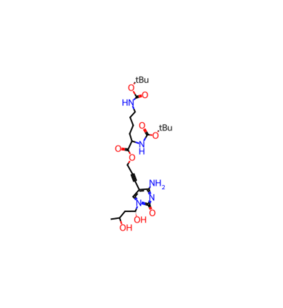 CC(O)C[C@@H](O)n1cc(C#CCOC(=O)C(CCCCNC(=O)OC(C)(C)C)NC(=O)OC(C)(C)C)c(N)nc1=O